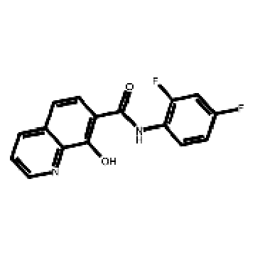 O=C(Nc1ccc(F)cc1F)c1ccc2cccnc2c1O